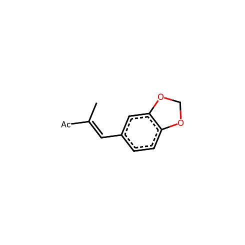 CC(=O)C(C)=Cc1ccc2c(c1)OCO2